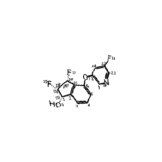 O[C@H]1c2[c]ccc(Oc3cncc(F)c3)c2[C@@H](F)[C@H]1F